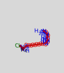 CC(=O)N1c2ccc(-c3ccc(C(=O)NCCOCCOCCOCCOCCOCCOCCOCCOCCNC(=O)c4cc(NC(=O)c5nc(NC(=O)CCNC(=O)c6cc(NC(=O)c7nc(N)cn7C)cn6C)cn5C)cn4C)cc3)cc2[C@H](Nc2ccc(Cl)cc2)C[C@@H]1C